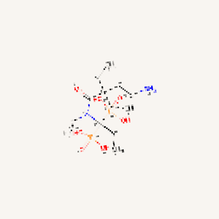 CCN(C(=O)C(CC)(CC)CCN)C(CC)(P(=O)(O)O)P(=O)(O)O